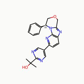 CC(C)(O)c1ncc(-c2ccc3nc4n(c3n2)[C@@H](c2ccccc2)COC4)cn1